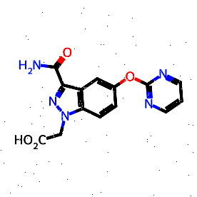 NC(=O)c1nn(CC(=O)O)c2ccc(Oc3ncccn3)cc12